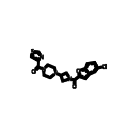 O=C(c1cscn1)N1CCN(C2CN(C(=O)c3cc4cc(Cl)ccc4o3)C2)CC1